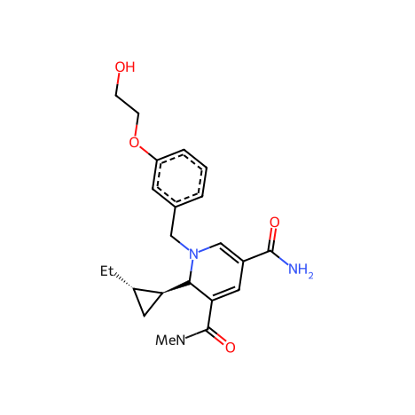 CC[C@H]1C[C@@H]1C1C(C(=O)NC)=CC(C(N)=O)=CN1Cc1cccc(OCCO)c1